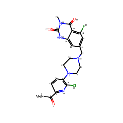 CNC(=O)c1ccc(N2CCN(Cc3cc(F)c4c(=O)n(C)c(=O)[nH]c4c3)CC2)c(Cl)n1